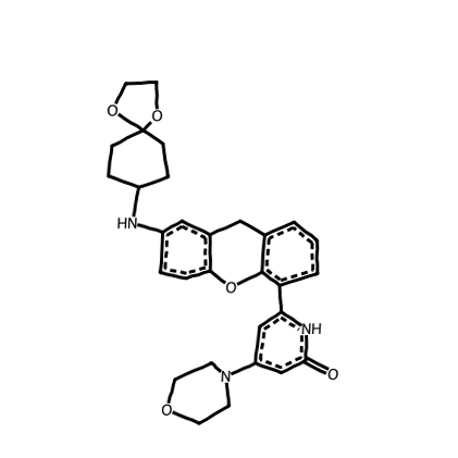 O=c1cc(N2CCOCC2)cc(-c2cccc3c2Oc2ccc(NC4CCC5(CC4)OCCO5)cc2C3)[nH]1